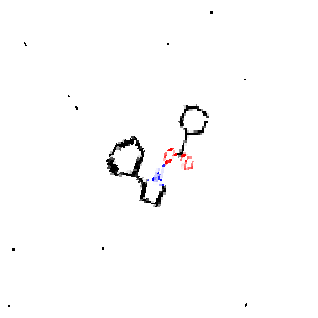 O=C(On1cccc1-c1ccccc1)C1CCCCC1